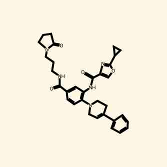 O=C(NCCCN1CCCC1=O)c1ccc(N2CC=C(c3ccccc3)CC2)c(NC(=O)c2coc(C3CC3)n2)c1